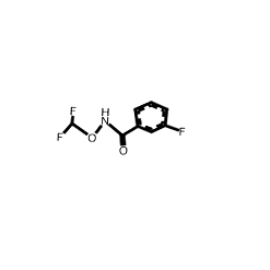 O=C(NOC(F)F)c1cccc(F)c1